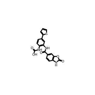 O=C(O)Nc1ccc(-c2cccs2)cc1NC(=O)c1ccc2[nH]c(=O)oc2c1